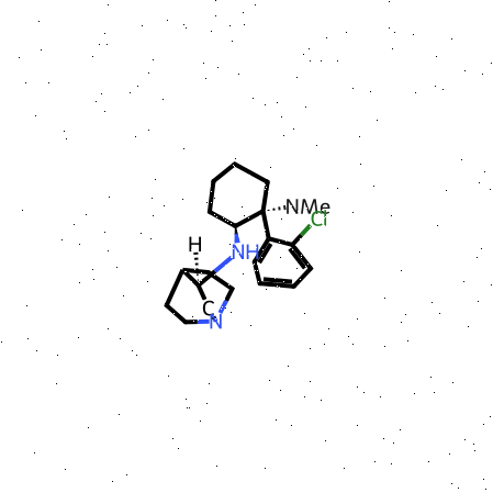 CN[C@@]1(c2ccccc2Cl)CCCC[C@@H]1N[C@H]1CN2CCC1CC2